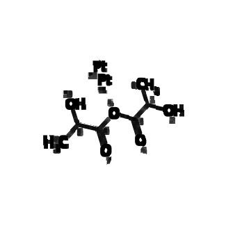 CC(O)C(=O)OC(=O)C(C)O.[Pt].[Pt]